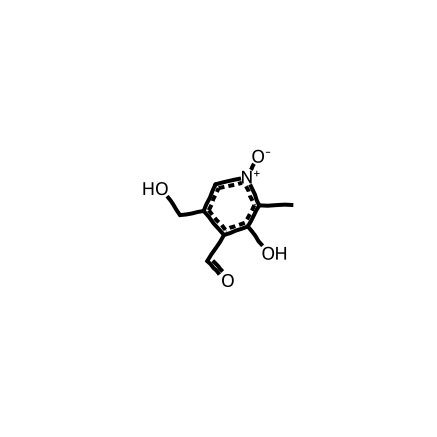 Cc1c(O)c(C=O)c(CO)c[n+]1[O-]